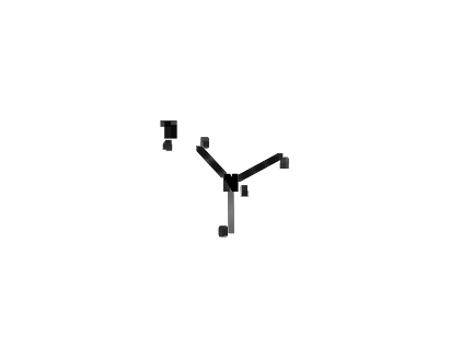 CN(C)C.[Ti]